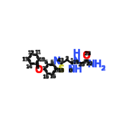 N=C(Cc1nc2cc(Oc3ccccc3)ccc2s1)NCC(N)=O